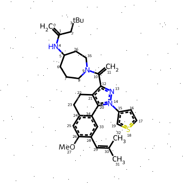 C=C(CC(C)(C)C)NC1CCCN(C(=C)c2nn(-c3ccsc3)c3c2CCc2cc(OC)c(C=C(C)C)cc2-3)CC1